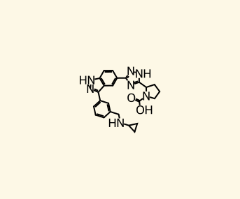 O=C(O)N1CCCC1c1nc(-c2ccc3[nH]nc(-c4cccc(CNC5CC5)c4)c3c2)n[nH]1